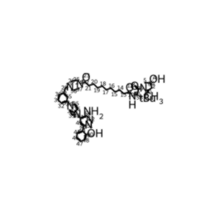 C[C@@H]1C[C@@H](O)CN1C(=O)[C@@H](NC(=O)CCCCCCCCCC(=O)N1CCN(Cc2cccc(N3C=C4CC3CN4c3cc(-c4ccccc4O)nnc3N)c2)CC1)C(C)(C)C